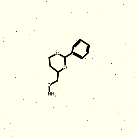 NOCC1CCOC(c2ccccc2)O1